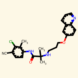 Cc1c(NC(=O)C(C)(C)NCCCOc2ccc3ncccc3c2)ccc(C#N)c1Cl